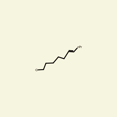 CCCC=CCCCCC[O]